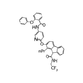 CCCc1c(Oc2ccc(NC(=O)c3ccccc3Oc3ccccc3)cn2)ccc2c1C(C(=O)NCC(F)(F)F)c1ccccc1-2